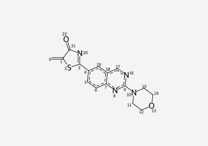 C=C1SC(c2ccc3nc(N4CCOCC4)ncc3c2)=NC1=O